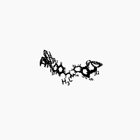 CN(CCc1ccc2c(c1)CN(NS(C)(=O)=O)C2)C[C@@H]1CCCc2c1ccc1c2OOC1